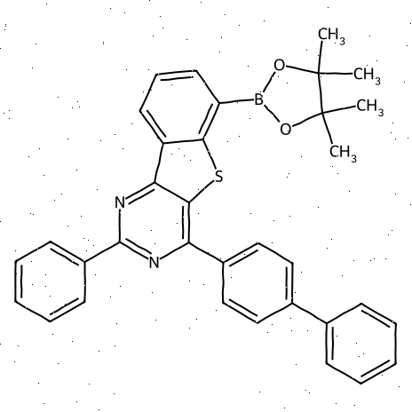 CC1(C)OB(c2cccc3c2sc2c(-c4ccc(-c5ccccc5)cc4)nc(-c4ccccc4)nc23)OC1(C)C